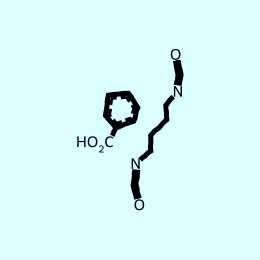 O=C(O)c1ccccc1.O=C=NCCCCN=C=O